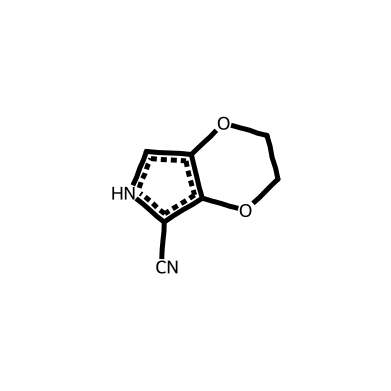 N#Cc1[nH]cc2c1OCCO2